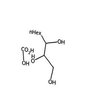 CCCCCCC(O)C(O)CO.O=C(O)O